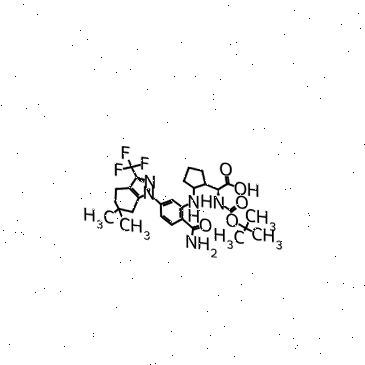 CC1(C)CCc2c(C(F)(F)F)nn(-c3ccc(C(N)=O)c(NC4CCCC4[C@H](NC(=O)OC(C)(C)C)C(=O)O)c3)c2C1